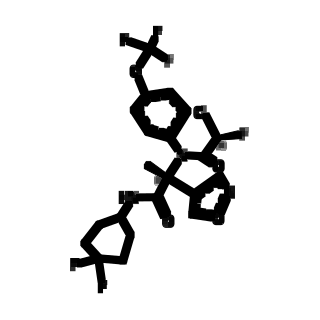 C[C@](C(=O)NC1CCC(F)(F)CC1)(c1cnoc1)N(C(=O)[C@H](F)Cl)c1ccc(OC(F)(F)F)cc1